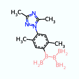 BB(B)B(B)c1cc(C)c(-n2nc(C)nc2C)cc1C